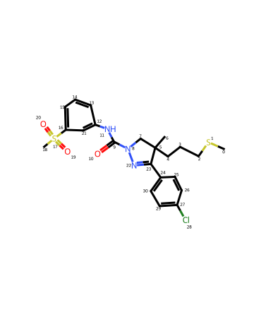 CSCCCC1(C)CN(C(=O)Nc2cccc(S(C)(=O)=O)c2)N=C1c1ccc(Cl)cc1